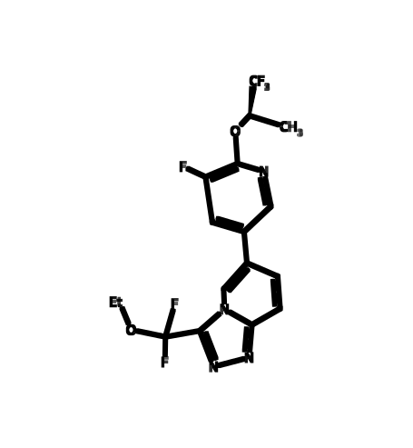 CCOC(F)(F)c1nnc2ccc(-c3cnc(O[C@H](C)C(F)(F)F)c(F)c3)cn12